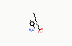 CCCCCCCCCC(=O)O.Cc1ccc(CN)cc1